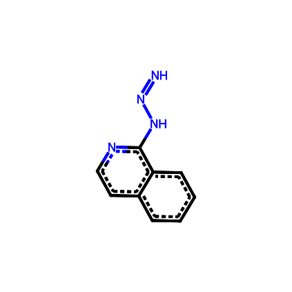 N=NNc1nccc2ccccc12